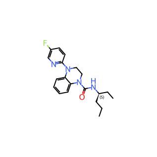 CCC[C@H](CC)NC(=O)N1CCN(c2ccc(F)cn2)c2ccccc21